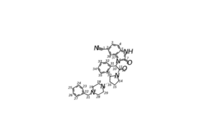 N#Cc1ccc2[nH]c(=O)n(C(C(=O)N3CC[C@H](N4CCN(Cc5ccccc5)CC4)C3)c3ccccc3)c2c1